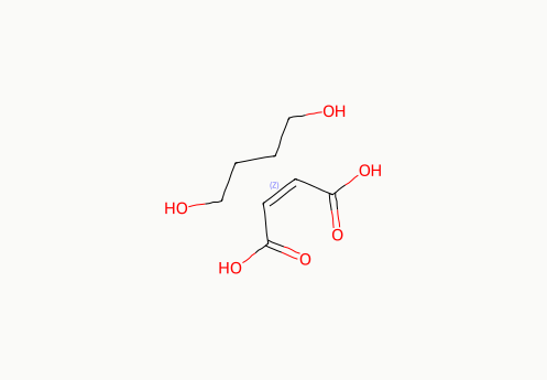 O=C(O)/C=C\C(=O)O.OCCCCO